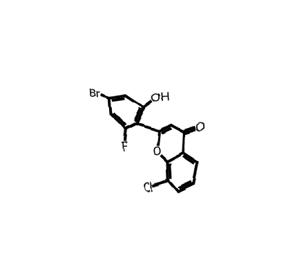 O=c1cc(-c2c(O)cc(Br)cc2F)oc2c(Cl)cccc12